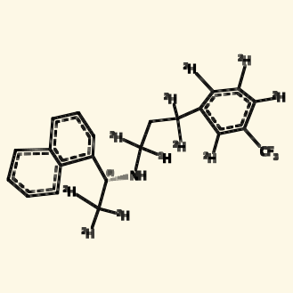 [2H]c1c([2H])c(C(F)(F)F)c([2H])c(C([2H])([2H])CC([2H])([2H])N[C@@H](c2cccc3ccccc23)C([2H])([2H])[2H])c1[2H]